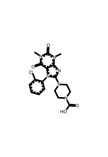 Cn1c(=O)c2c(nc(N3CCN(C(=O)O)CC3)n2-c2ccccc2Cl)n(C)c1=O